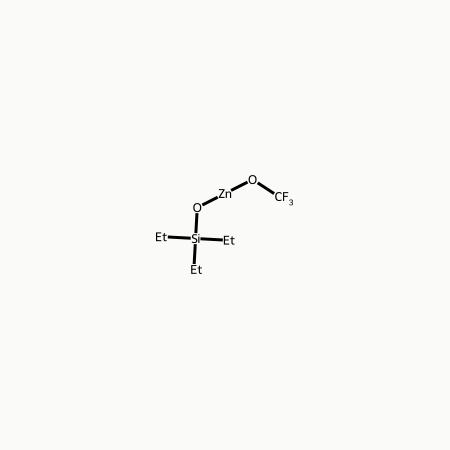 CC[Si](CC)(CC)[O][Zn][O]C(F)(F)F